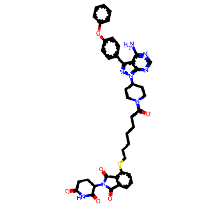 Nc1ncnc2c1c(-c1ccc(Oc3ccccc3)cc1)nn2C1CCN(C(=O)CCCCCCSc2cccc3c2C(=O)N(C2CCC(=O)NC2=O)C3=O)CC1